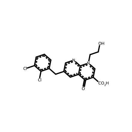 O=C(O)c1cn(CCO)c2ncc(Cc3cccc(Cl)c3Cl)cc2c1=O